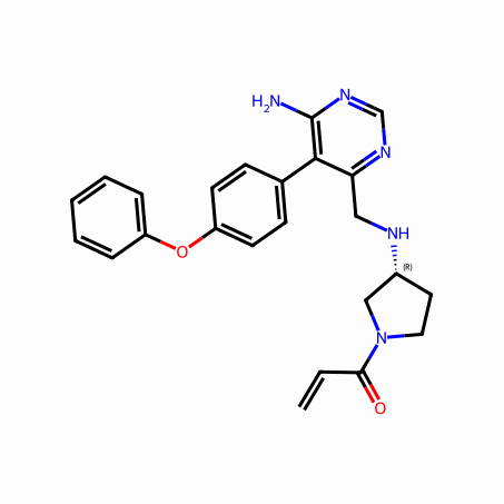 C=CC(=O)N1CC[C@@H](NCc2ncnc(N)c2-c2ccc(Oc3ccccc3)cc2)C1